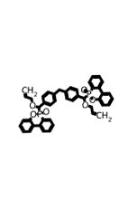 C=CCOC(c1ccc(Cc2ccc(C(OCC=C)P3(=O)Oc4ccccc4-c4ccccc43)cc2)cc1)P1(=O)Oc2ccccc2-c2ccccc21